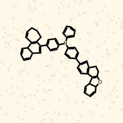 C1=CC2C=C(c3ccc(N(c4ccccc4)c4ccc(-c5ccc6c(c5)CCC5=C6C6C=CC=CC6O5)cc4)cc3)C3=C(C=CCCC3)C2C=C1